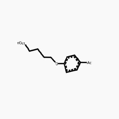 CCCCCCCCCCCCOc1ccc(C(C)=O)cc1